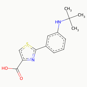 CC(C)(C)Nc1cccc(-c2nc(C(=O)O)cs2)c1